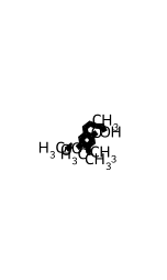 COCOc1cc2c(cc1C(C)(C)C)OC(C)(CO)CC2